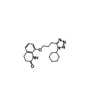 O=C1CCc2cccc(OCCCc3nnnn3C3CCCCC3)c2N1